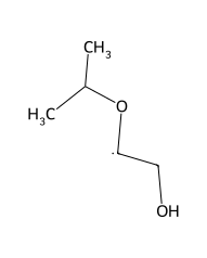 CC(C)O[CH]CO